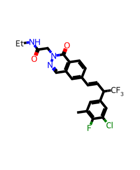 CCNC(=O)Cn1ncc2cc(/C=C/C(c3cc(C)c(F)c(Cl)c3)C(F)(F)F)ccc2c1=O